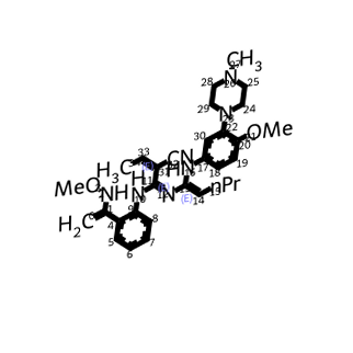 C=C(NOC)c1ccccc1NC(=N/C(=C/CCC)Nc1ccc(OC)c(N2CCN(C)CC2)c1)/C(C#N)=C\C